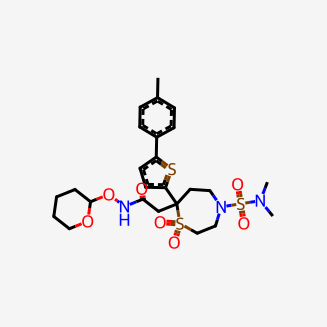 Cc1ccc(-c2ccc(C3(CC(=O)NOC4CCCCO4)CCN(S(=O)(=O)N(C)C)CCS3(=O)=O)s2)cc1